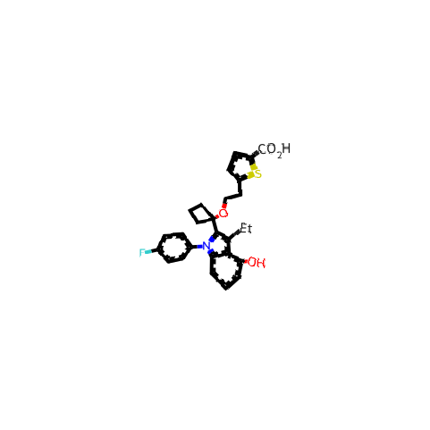 CCc1c(C2(OCCc3ccc(C(=O)O)s3)CCC2)n(-c2ccc(F)cc2)c2cccc(O)c12